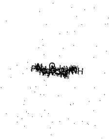 CNC1(CN(CC=O)C(C)c2ccc(-n3cc(F)cn3)nc2)CCC(c2nc(C)cc(Nc3cc(C)[nH]n3)n2)CC1